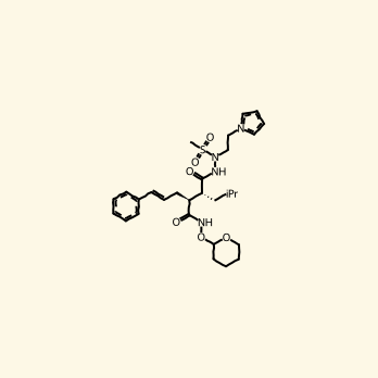 CC(C)C[C@@H](C(=O)NN(CCn1cccc1)S(C)(=O)=O)[C@H](CC=Cc1ccccc1)C(=O)NOC1CCCCO1